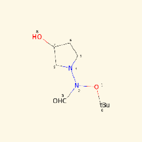 CC(C)(C)ON(C=O)N1CCC(O)C1